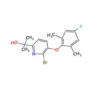 Cc1cc(F)cc(C)c1Oc1ccc(C(C)(C)O)nc1Br